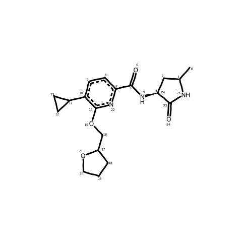 CC1C[C@H](NC(=O)c2ccc(C3CC3)c(OCC3CCCO3)n2)C(=O)N1